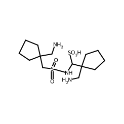 NCC1(CS(=O)(=O)NC(C2(CN)CCCC2)S(=O)(=O)O)CCCC1